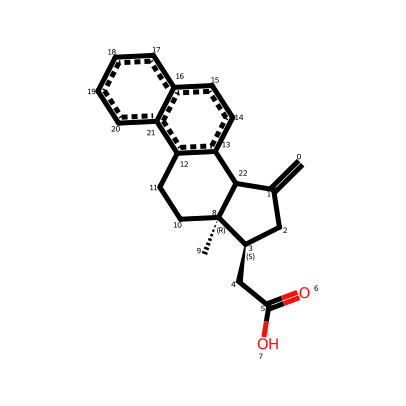 C=C1C[C@@H](CC(=O)O)[C@@]2(C)CCc3c(ccc4ccccc34)C12